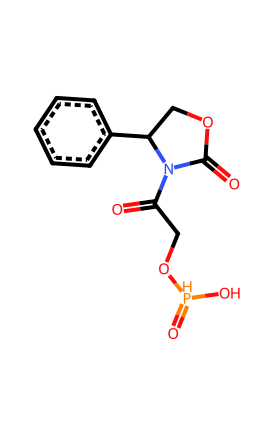 O=C(CO[PH](=O)O)N1C(=O)OCC1c1ccccc1